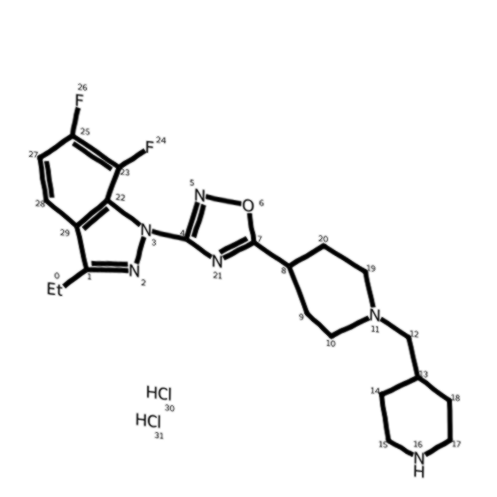 CCc1nn(-c2noc(C3CCN(CC4CCNCC4)CC3)n2)c2c(F)c(F)ccc12.Cl.Cl